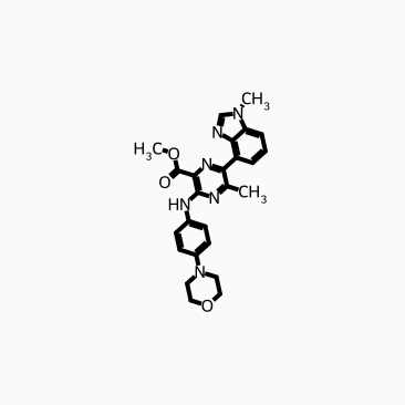 COC(=O)c1nc(-c2cccc3c2ncn3C)c(C)nc1Nc1ccc(N2CCOCC2)cc1